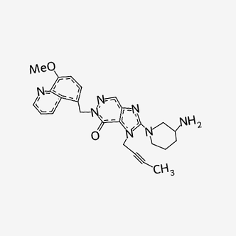 CC#CCn1c(N2CCCC(N)C2)nc2cnn(Cc3ccc(OC)c4ncccc34)c(=O)c21